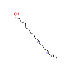 C/C=C/CC/C=C/CCCCCCCCCO